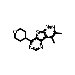 Cc1nnc2sc3c(C4CCOCC4)ncnc3c2c1C